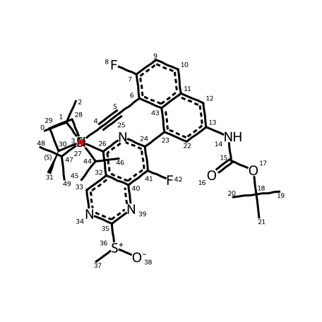 CC(C)[Si](C#Cc1c(F)ccc2cc(NC(=O)OC(C)(C)C)cc(-c3nc(N4CC[C@@H]4C)c4cnc([S+](C)[O-])nc4c3F)c12)(C(C)C)C(C)C